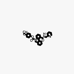 COc1ccc(OC(=O)NCc2ccccc2-c2ccccc2C(=O)NCc2ccccn2)cc1